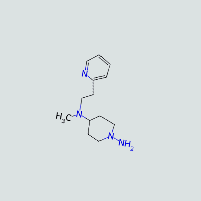 CN(CCc1ccccn1)C1CCN(N)CC1